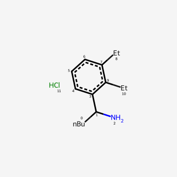 CCCCC(N)c1cccc(CC)c1CC.Cl